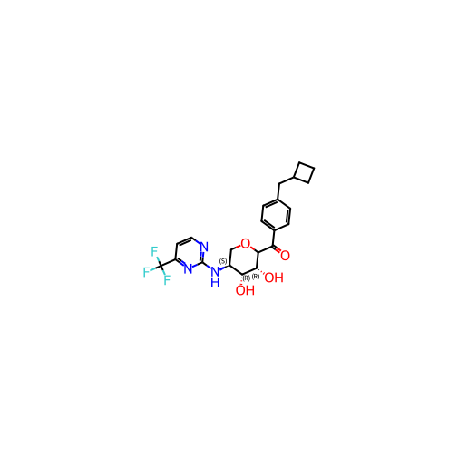 O=C(c1ccc(CC2CCC2)cc1)C1OC[C@H](Nc2nccc(C(F)(F)F)n2)[C@@H](O)[C@H]1O